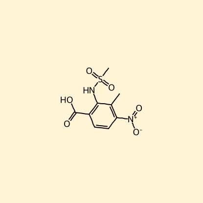 Cc1c([N+](=O)[O-])ccc(C(=O)O)c1NS(C)(=O)=O